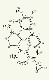 CN1CCC(N(C)c2c(C=O)c(C3CC3)nc3ccc(-c4cc(F)c(O)c(F)c4)cc23)CC1